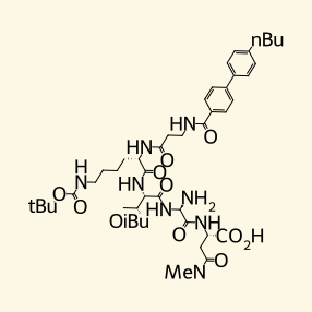 CCCCc1ccc(-c2ccc(C(=O)NCCC(=O)N[C@@H](CCCCNC(=O)OC(C)(C)C)C(=O)N[C@H](C(=O)N[C@@H](N)C(=O)N[C@@H](CC(=O)NC)C(=O)O)[C@@H](C)OCC(C)C)cc2)cc1